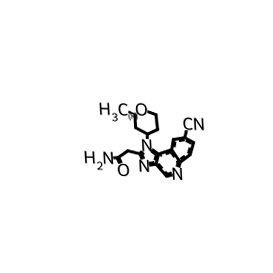 C[C@@H]1CC(n2c(CC(N)=O)nc3cnc4ccc(C#N)cc4c32)CCO1